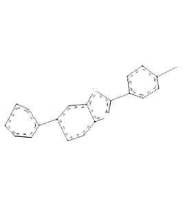 Bc1ccc(-c2nc3cc(-c4ccccc4)ccc3o2)cc1